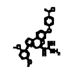 COc1ccc(OC)c(-c2ccc(-c3ccc(Oc4ccc(C(C)=O)cc4)cc3)n2CC(=O)NC(=N)N)c1